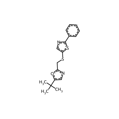 CC(C)(C)c1cnc(CSc2cnc(-c3cc[c]cc3)s2)o1